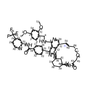 COc1ccc(CNc2ncc3c4c2c(-c2ccc(C(=O)Nc5cc(C(F)(F)F)ccn5)cc2)nn4[C@@H]2CCC[C@H](C2)NC(=O)COCC/C=C/3)c(OC)c1